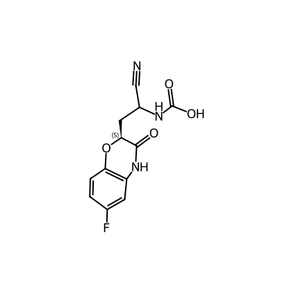 N#CC(C[C@@H]1Oc2ccc(F)cc2NC1=O)NC(=O)O